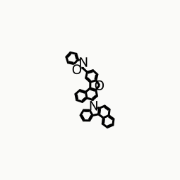 c1ccc2c(c1)ccc1c2c2ccccc2n1-c1cc2oc3ccc(-c4nc5ccccc5o4)cc3c2c2ccccc12